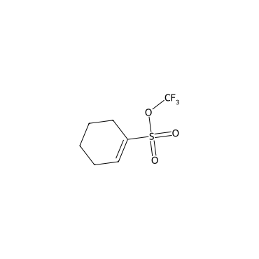 O=S(=O)(OC(F)(F)F)C1=CCCCC1